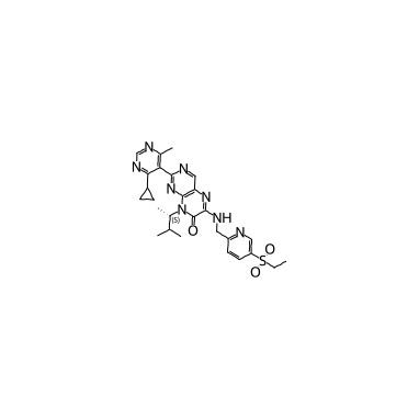 CCS(=O)(=O)c1ccc(CNc2nc3cnc(-c4c(C)ncnc4C4CC4)nc3n([C@@H](C)C(C)C)c2=O)nc1